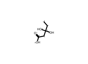 [CH2]CC(O)(O)CC(=O)O